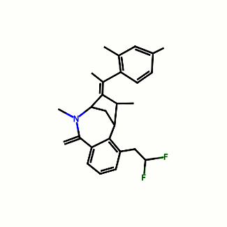 C=C1c2cccc(CC(F)F)c2C2CC(/C(=C(\C)c3ccc(C)cc3C)C2C)N1C